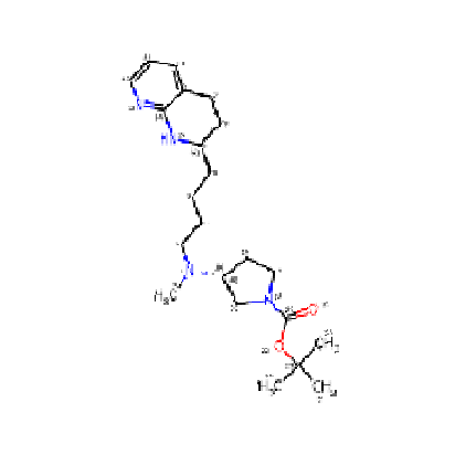 CN(CCCC[C@@H]1CCc2cccnc2N1)[C@@H]1CCN(C(=O)OC(C)(C)C)C1